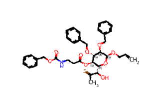 C=CCO[C@H]1O[C@H](C(O)C(C)=S)[C@@H](OC(=O)CCNC(=O)OCc2ccccc2)[C@H](OCc2ccccc2)[C@H]1OCc1ccccc1